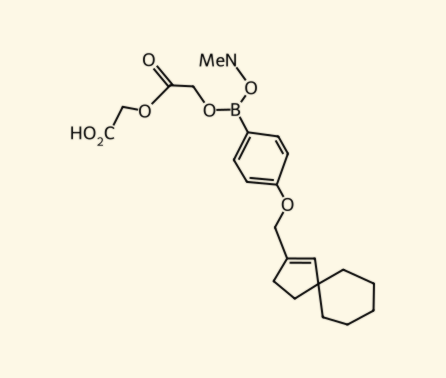 CNOB(OCC(=O)OCC(=O)O)c1ccc(OCC2=CC3(CCCCC3)CC2)cc1